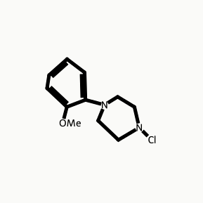 COc1ccccc1N1CCN(Cl)CC1